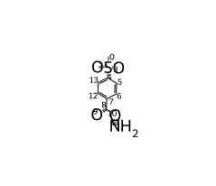 CS(=O)(=O)c1ccc(C(=O)ON)cc1